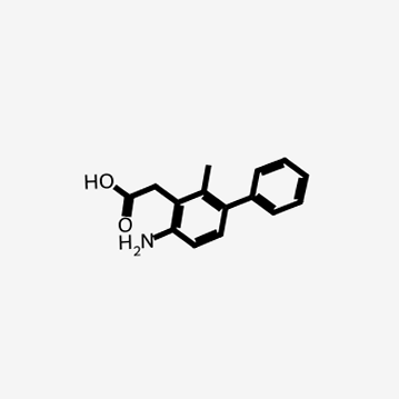 Cc1c(-c2ccccc2)ccc(N)c1CC(=O)O